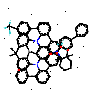 CC1(C)c2cccc3c2B2c4c(cc(N5c6ccc(-c7ccccc7)cc6C6(C)CCCCC56C)cc4N(c4c(-c5ccccc5)cccc4-c4ccc(C(F)(F)F)cc4)c4cccc1c42)N3c1c(-c2ccccc2)cccc1-c1ccc(C(F)(F)F)cc1